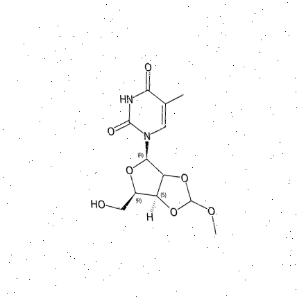 COC1OC2[C@@H](O1)[C@@H](CO)O[C@H]2n1cc(C)c(=O)[nH]c1=O